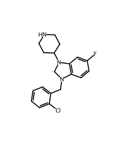 Fc1ccc2c(c1)N(C1CCNCC1)[CH]N2Cc1ccccc1Cl